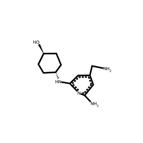 NCc1cc(N)nc(N[C@H]2CC[C@H](O)CC2)c1